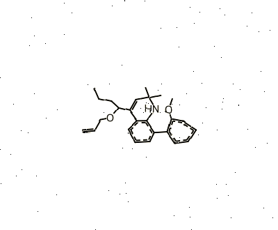 C=CCOC(CCC)C1=CC(C)(C)Nc2c1cccc2-c1ccccc1OC